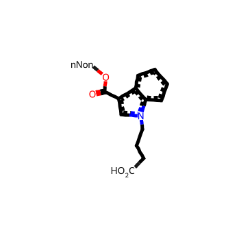 CCCCCCCCCOC(=O)c1cn(CCCC(=O)O)c2ccccc12